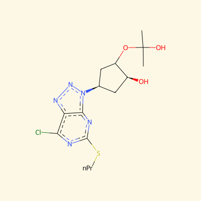 CCCSc1nc(Cl)c2nnn([C@H]3CC(OC(C)(C)O)[C@@H](O)C3)c2n1